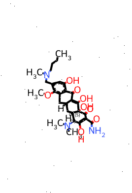 CCCCN(C)Cc1cc(O)c2c(c1OC)C[C@H]1C[C@H]3[C@H](N(C)C)C(O)=C(C(N)=O)C(=O)[C@@]3(O)C(O)=C1C2=O